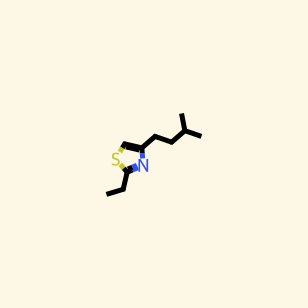 CCc1nc(CCC(C)C)cs1